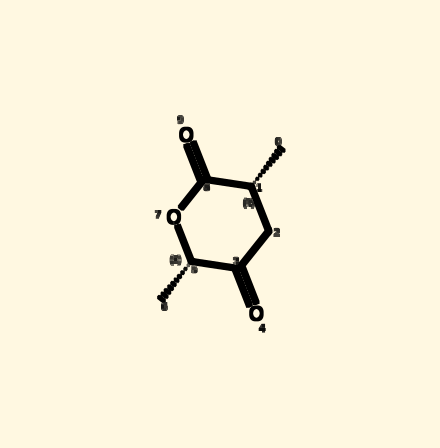 C[C@@H]1CC(=O)[C@H](C)OC1=O